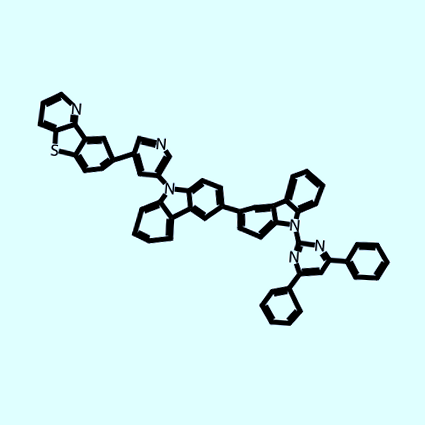 c1ccc(-c2cc(-c3ccccc3)nc(-n3c4ccccc4c4cc(-c5ccc6c(c5)c5ccccc5n6-c5cncc(-c6ccc7sc8cccnc8c7c6)c5)ccc43)n2)cc1